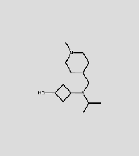 CC(C)N(CC1CCN(C)CC1)C1CC(O)C1